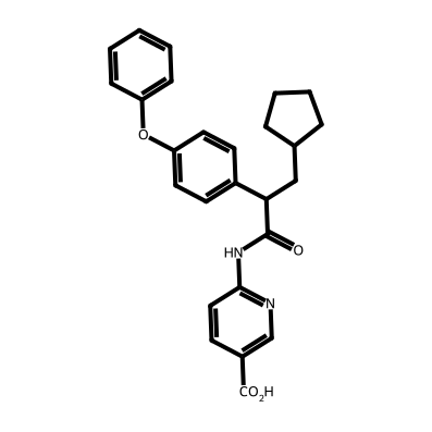 O=C(O)c1ccc(NC(=O)C(CC2CCCC2)c2ccc(Oc3ccccc3)cc2)nc1